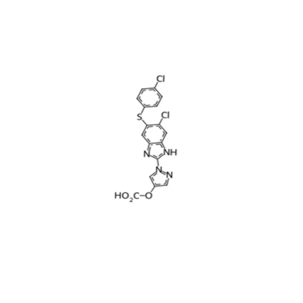 O=C(O)Oc1cnn(-c2nc3cc(Sc4ccc(Cl)cc4)c(Cl)cc3[nH]2)c1